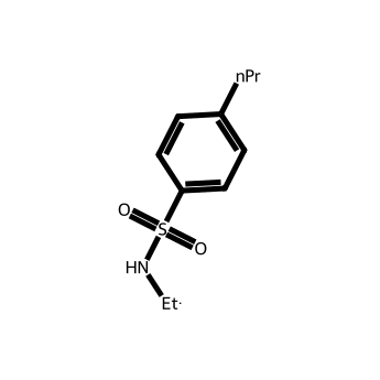 C[CH]NS(=O)(=O)c1ccc(CCC)cc1